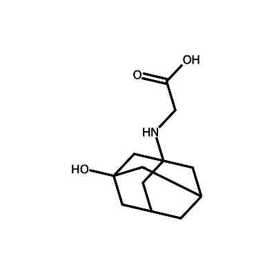 O=C(O)CNC12CC3CC(CC(O)(C3)C1)C2